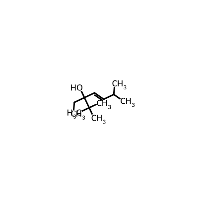 CCC(O)(/C=C/C(C)C)C(C)(C)C